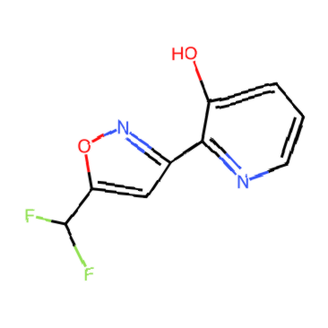 Oc1cccnc1-c1cc(C(F)F)on1